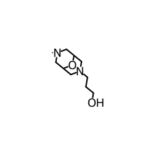 OCCCN1CC2C[N]CC(C1)O2